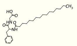 CCCCCCCCCCCCCCCC(=O)NC(Cc1ccccc1)C(=O)NCC(=O)O